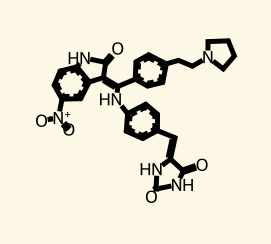 O=C1NC(=O)C(=Cc2ccc(NC(=C3C(=O)Nc4ccc([N+](=O)[O-])cc43)c3ccc(CCN4CCCC4)cc3)cc2)N1